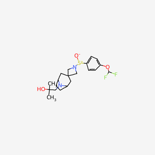 CC(C)(O)CN1C2CCC1CC1(C2)CN([S+]([O-])c2ccc(OC(F)F)cc2)C1